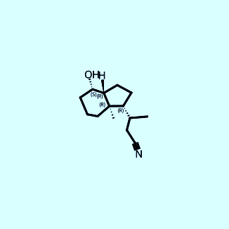 CC(CC#N)[C@H]1CC[C@H]2[C@@H](O)CCC[C@]12C